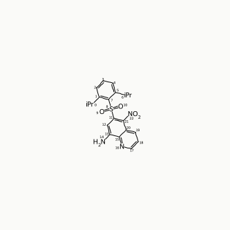 CC(C)c1cccc(C(C)C)c1S(=O)(=O)c1cc(N)c2ncccc2c1[N+](=O)[O-]